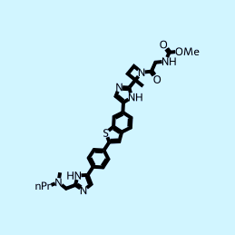 CCCN(C)Cc1ncc(-c2ccc(-c3cc4ccc(-c5cnc(C6(C)CCN6C(=O)CNC(=O)OC)[nH]5)cc4s3)cc2)[nH]1